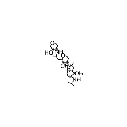 CC(C)N[C@H]1CCOC(CC(C)N[C@@H]2CCOC(CC(C)N[C@@H]3CCOC[C@H]3O)[C@@H]2O)[C@@H]1O